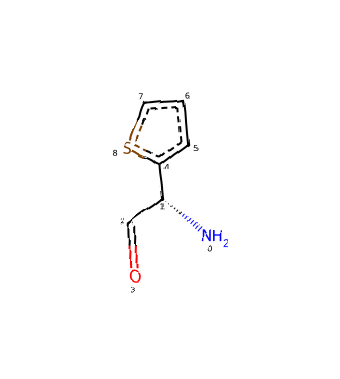 N[C@H]([C]=O)c1cccs1